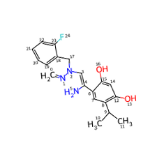 C=NN(/C=C(\N)c1cc(C(C)C)c(O)cc1O)Cc1ccccc1F